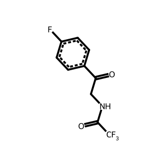 O=C(CNC(=O)C(F)(F)F)c1ccc(F)cc1